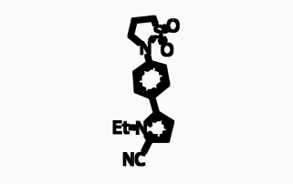 CCn1c(C#N)ccc1-c1ccc(N2CCCS2(=O)=O)cc1